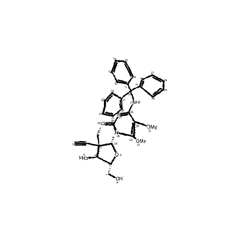 C#C[C@@]1(F)[C@H](O)[C@@H](CO)O[C@H]1n1c(OC)c(OC)c(NC(c2ccccc2)(c2ccccc2)c2ccccc2)nc1=O